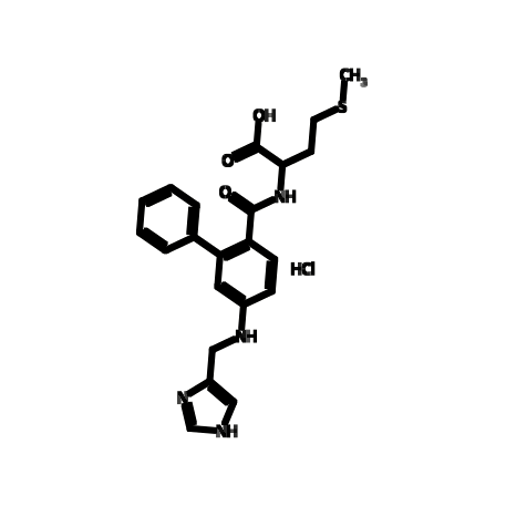 CSCCC(NC(=O)c1ccc(NCc2c[nH]cn2)cc1-c1ccccc1)C(=O)O.Cl